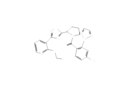 CCOc1ncccc1-c1noc(C2CCCN2C(=O)c2ccc(Cl)cc2-n2nccn2)n1